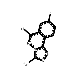 Cc1nnc2c3ccc(F)cc3c(Cl)nn12